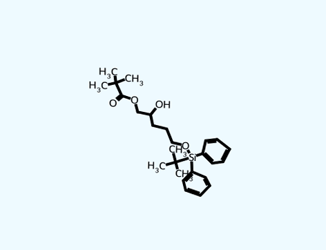 CC(C)(C)C(=O)OCC(O)CCCO[Si](c1ccccc1)(c1ccccc1)C(C)(C)C